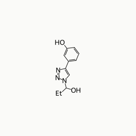 [CH2]CC(O)n1cc(-c2cccc(O)c2)nn1